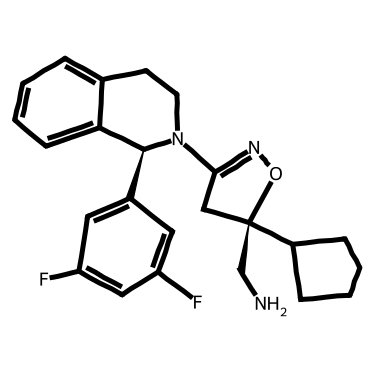 NC[C@@]1(C2CCCC2)CC(N2CCc3ccccc3[C@@H]2c2cc(F)cc(F)c2)=NO1